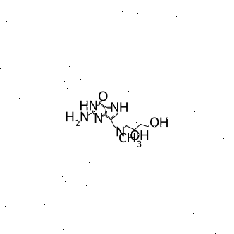 CN(Cc1c[nH]c2c(=O)[nH]c(N)nc12)CC(O)CCO